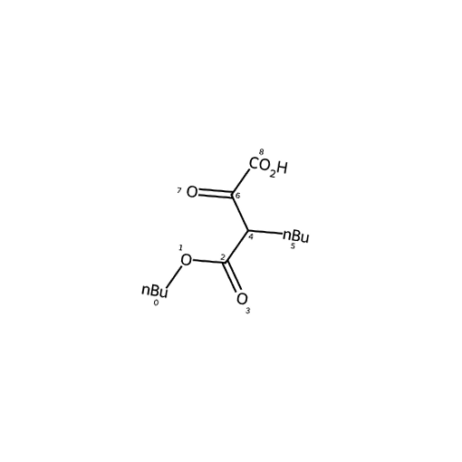 CCCCOC(=O)C(CCCC)C(=O)C(=O)O